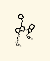 COCCOc1cccc2c(CCc3ccccc3)nc(-n3c(OC)cc4ccccc43)nc12